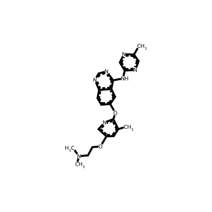 Cc1cnc(Nc2ncnc3ccc(Oc4ncc(OCCN(C)C)cc4C)cc23)cn1